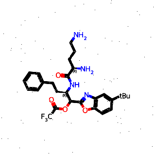 CC(C)(C)c1ccc2oc(C(OC(=O)C(F)(F)F)[C@@H](CCc3ccccc3)NC(=O)[C@H](N)CCCN)nc2c1